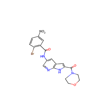 O=C(Nc1cnc2[nH]c(C(=O)N3CCOCC3)cc2c1)c1cc([N+](=O)[O-])ccc1Br